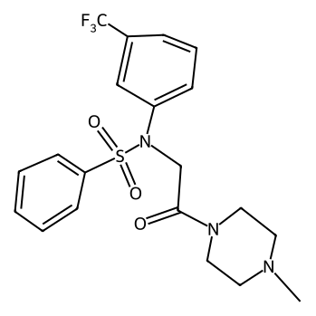 CN1CCN(C(=O)CN(c2cccc(C(F)(F)F)c2)S(=O)(=O)c2ccccc2)CC1